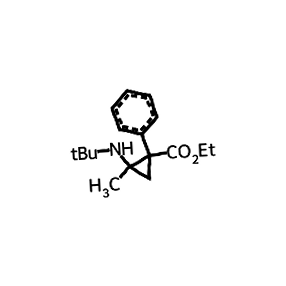 CCOC(=O)C1(c2ccccc2)CC1(C)NC(C)(C)C